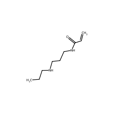 C=CC(=O)NCCCNCCC